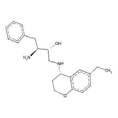 CCc1ccc2c(c1)[C@@H](NC[C@@H](O)[C@@H](N)Cc1ccccc1)CCO2